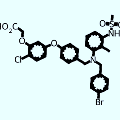 Cc1c(NS(C)(=O)=O)cccc1N(Cc1ccc(Br)cc1)Cc1ccc(Oc2ccc(Cl)c(OCC(=O)O)c2)cc1